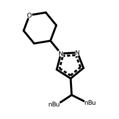 CCCCC(CCCC)c1cnn(C2CCOCC2)c1